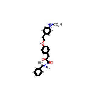 CCOC(Cc1ccc(OCCc2ccc(NC(=O)O)cc2)cc1)C(=O)N(CC)Cc1ccccc1